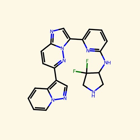 FC1(F)CNCC1Nc1cccc(-c2cnc3ccc(-c4cnn5ccccc45)nn23)n1